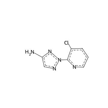 Nc1cnn(-c2ncccc2Cl)n1